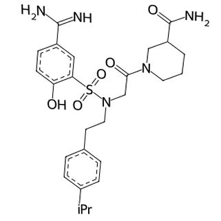 CC(C)c1ccc(CCN(CC(=O)N2CCCC(C(N)=O)C2)S(=O)(=O)c2cc(C(=N)N)ccc2O)cc1